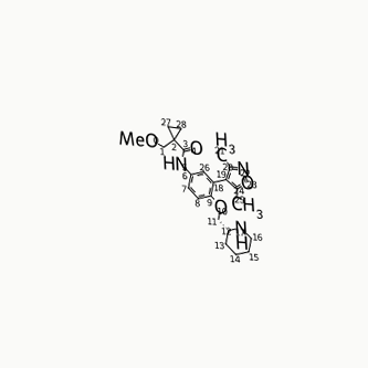 COCC1(C(=O)Nc2ccc(OC[C@H]3CCCCN3)c(-c3c(C)noc3C)c2)CC1